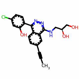 CC#Cc1ccc2c(-c3ccc(Cl)cc3O)nnc(NC[C@H](O)CO)c2c1